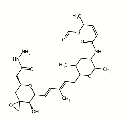 CC(/C=C/C1O[C@H](CC(=O)NN)CC2(CO2)[C@@H]1O)=C\CC1OC(C)C(NC(=O)/C=C\C(C)OC=O)CC1C